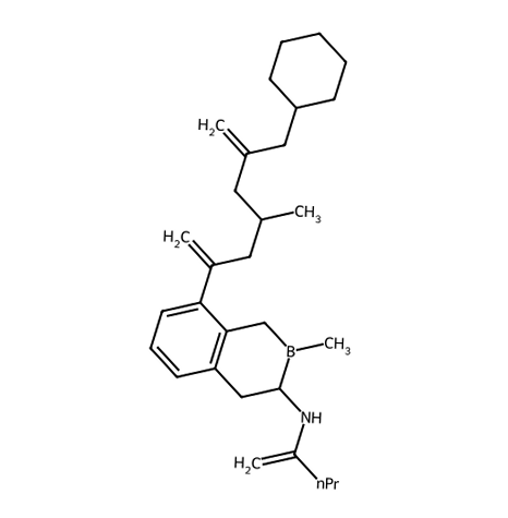 C=C(CC(C)CC(=C)c1cccc2c1CB(C)C(NC(=C)CCC)C2)CC1CCCCC1